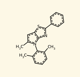 Cc1cccc(C)c1-n1c(C)cc2sc(-c3ccccc3)nc21